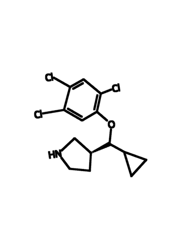 Clc1cc(Cl)c(OC(C2CC2)[C@H]2CCNC2)cc1Cl